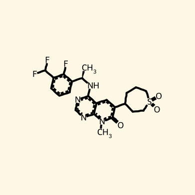 C[C@@H](Nc1ncnc2c1cc(C1CCCS(=O)(=O)CC1)c(=O)n2C)c1cccc(C(F)F)c1F